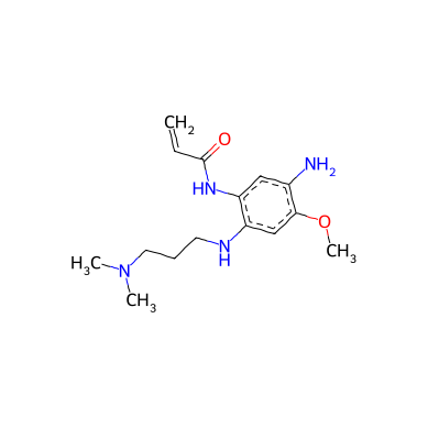 C=CC(=O)Nc1cc(N)c(OC)cc1NCCCN(C)C